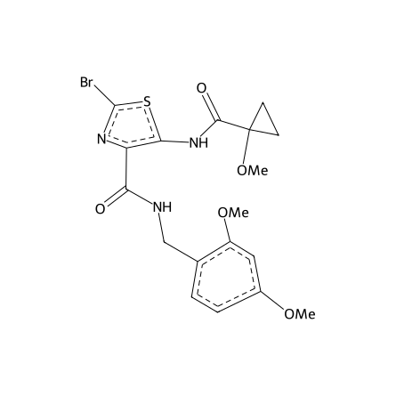 COc1ccc(CNC(=O)c2nc(Br)sc2NC(=O)C2(OC)CC2)c(OC)c1